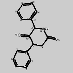 O=C1CC(c2ccccc2)C(=O)C(c2ccccc2)N1